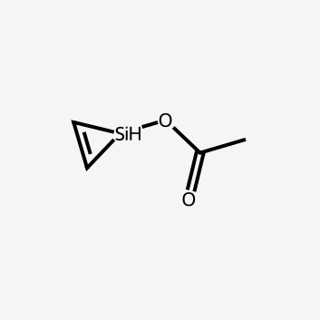 CC(=O)O[SiH]1C=C1